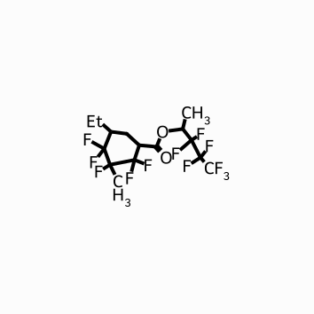 CCC1CC(C(=O)OC(C)C(F)(F)C(F)(F)C(F)(F)F)C(F)(F)C(C)(F)C1(F)F